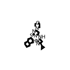 c1ccc2cc(Sc3nc(Nc4cc(C5CC5)n[nH]4)cc(N4CCOCC4)n3)ccc2c1